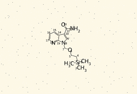 C[Si](C)(C)CCOCn1cc(C(N)=O)c2cccnc21